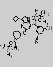 Cc1cc(C#N)cc(N(C(=O)OC(C)(C)C)c2cc(O[C@H]3CCCN(C(=O)OC(C)(C)C)C3)nc3c(C4CCC4)cnn23)c1